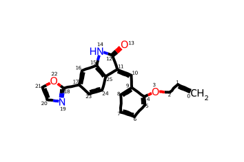 C=CCOc1ccccc1/C=C1/C(=O)Nc2cc(-c3ncco3)ccc21